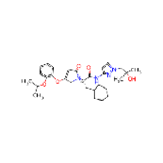 CC(C)Oc1ccccc1OC1=CC(=O)N([C@@H](CC2CCCCC2)C(=O)Nc2ccn(CC(C)(C)O)n2)C1